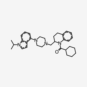 CC(C)n1ccc2c(N3CCN(CC4CCc5ccccc5N4C(=O)C4CCCCC4)CC3)cccc21